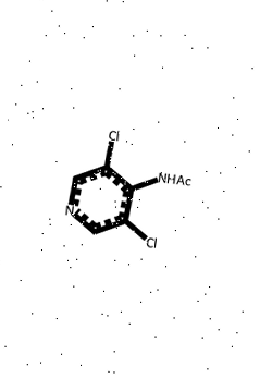 CC(=O)Nc1c(Cl)cncc1Cl